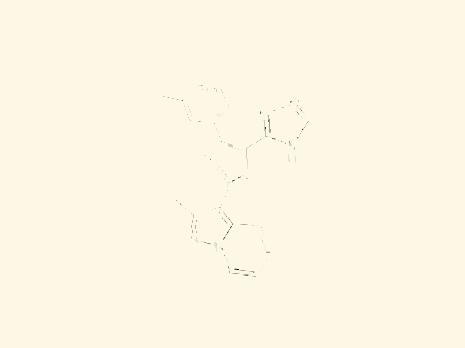 Cc1nn2ccccc2c1-c1nc(-c2cccc(F)c2)c(-c2nnc[nH]2)s1